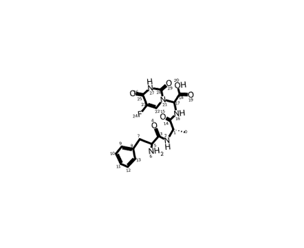 C[C@H](NC(=O)C(N)Cc1ccccc1)C(=O)NC(C(=O)O)n1cc(F)c(=O)[nH]c1=O